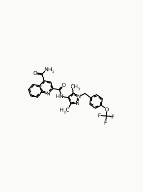 Cc1nn(Cc2ccc(OC(F)(F)F)cc2)c(C)c1NC(=O)c1cc(C(N)=O)c2ccccc2n1